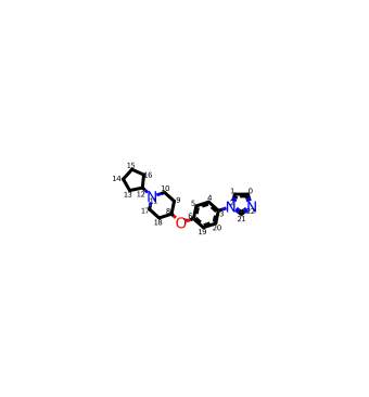 c1cn(-c2ccc(OC3CCN(C4CCCC4)CC3)cc2)cn1